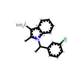 CCOC(=O)c1c(C)n(C(C)c2cccc(Br)c2)c2ccccc12